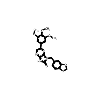 COc1cc(-c2cnc3[nH]c(=O)n(Cc4ccc5c(c4)OCO5)c3n2)cc(OC)c1OC